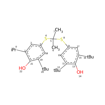 CC(C)c1cc(SC(C)(C)Sc2cc(C(C)(C)C)c(O)c(C(C)(C)C)c2)cc(C(C)(C)C)c1O